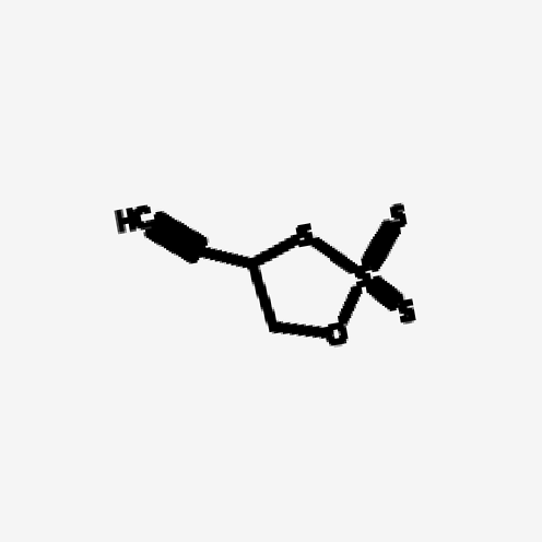 C#CC1COS(=S)(=S)S1